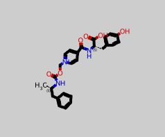 C[C@@H](Cc1ccccc1)NC(=O)OC[n+]1ccc(C(=O)N[C@@H](Cc2ccc(O)cc2)C(=O)O)cc1